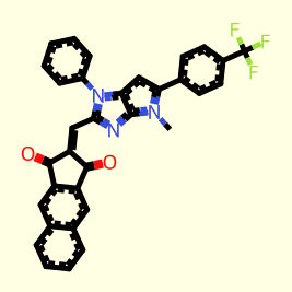 Cn1c(-c2ccc(C(F)(F)F)cc2)cc2c1nc(C=C1C(=O)c3cc4ccccc4cc3C1=O)n2-c1ccccc1